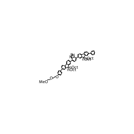 CCCCCCCCC1(CCCCCCCC)c2cc(-c3ccccc3)ccc2-c2ccc(-c3ccc(-c4ccc5c(c4)C(CCCCCCCC)(CCCCCCCC)c4cc(-c6ccc(OCCOCCOC)cc6)ccc4-5)c4nsnc34)cc21